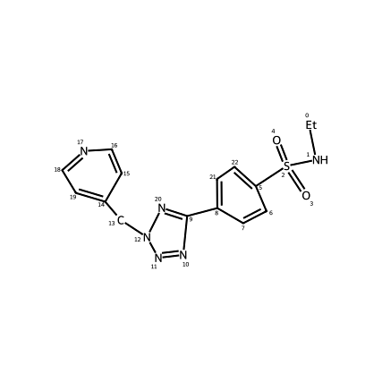 CCNS(=O)(=O)c1ccc(-c2nnn(Cc3ccncc3)n2)cc1